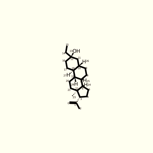 C=C(C)[C@H]1CC[C@H]2[C@@H]3CC[C@H]4C[C@@](O)(CC)CC[C@@H]4[C@H]3CC[C@]12C